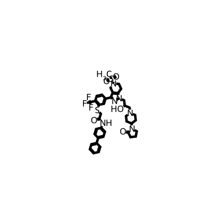 CS(=O)(=O)N1CCc2c(c(-c3ccc(C(F)(F)F)c(SCC(=O)Nc4ccc(-c5ccccc5)cc4)c3)nn2CC(O)CN2CCC(N3CCCC3=O)CC2)C1